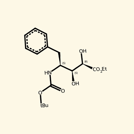 CCOC(=O)[C@H](O)[C@@H](O)[C@H](Cc1ccccc1)NC(=O)OC(C)(C)C